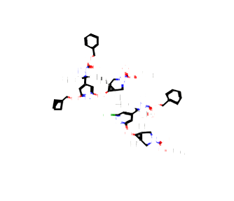 CC(C)(C)OC(=O)N1C[C@@H]2C(Oc3cc(C(C)(C)NC(=O)OCc4ccccc4)cc(Cl)n3)[C@@H]2C1.CC(C)(C)OC(=O)N1C[C@@H]2C(Oc3cc(C(C)(C)NC(=O)OCc4ccccc4)cc(OCC45CC(C4)C5)n3)[C@@H]2C1